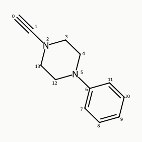 C#CN1CCN(c2ccccc2)CC1